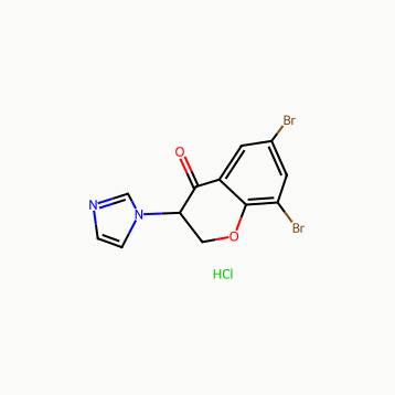 Cl.O=C1c2cc(Br)cc(Br)c2OCC1n1ccnc1